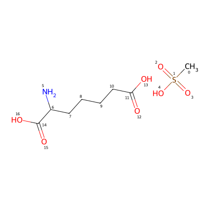 CS(=O)(=O)O.NC(CCCCC(=O)O)C(=O)O